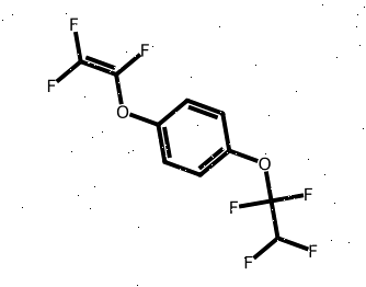 FC(F)=C(F)Oc1ccc(OC(F)(F)C(F)F)cc1